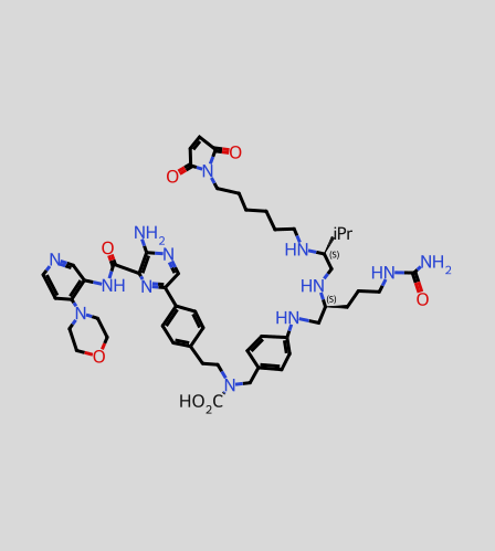 CC(C)[C@@H](CN[C@@H](CCCNC(N)=O)CNc1ccc(CN(CCc2ccc(-c3cnc(N)c(C(=O)Nc4cnccc4N4CCOCC4)n3)cc2)C(=O)O)cc1)NCCCCCCN1C(=O)C=CC1=O